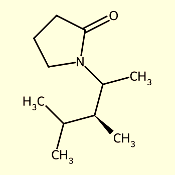 CC(C)[C@H](C)C(C)N1CCCC1=O